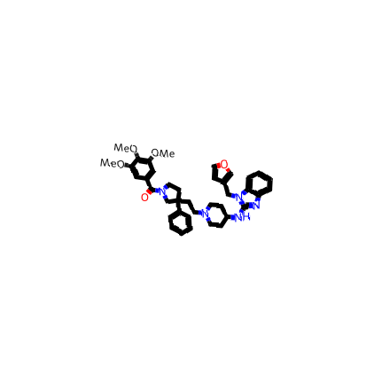 COc1cc(C(=O)N2CCC(CCN3CCC(Nc4nc5ccccc5n4Cc4ccoc4)CC3)(c3ccccc3)C2)cc(OC)c1OC